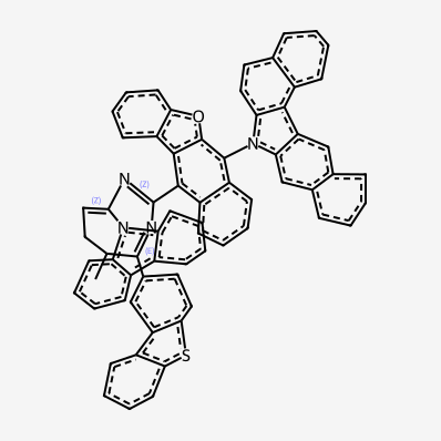 CC1C/C=C(n2c3ccccc3c3ccccc32)/N=C(c2c3ccccc3c(-n3c4cc5ccccc5cc4c4c5ccccc5ccc43)c3oc4ccccc4c23)\N=C/1c1ccc2sc3ccccc3c2c1